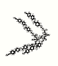 CC(C)(COC(=O)C(C#N)(CCC(=O)OCCOc1ccc(C(=O)Oc2ccc(-c3ccc(C#N)cc3)cc2)cc1)CCC(=O)OCCOc1ccc(C(=O)Oc2ccc(-c3ccc(C#N)cc3)cc2)cc1)COC(=O)C(C#N)(CCC(=O)OCCOc1ccc(C(=O)Oc2ccc(-c3ccc(C#N)cc3)cc2)cc1)CCC(=O)OCCOc1ccc(C(=O)Oc2ccc(-c3ccc(C#N)cc3)cc2)cc1